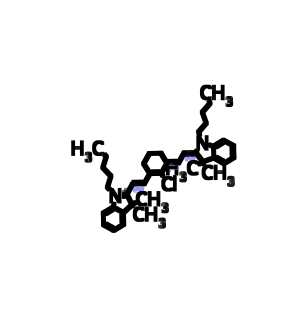 CCCCCN1/C(=C/C=C2\CCCC(/C=C/C3=[N+](CCCCC)c4ccccc4C3(C)C)=C2Cl)C(C)(C)c2ccccc21